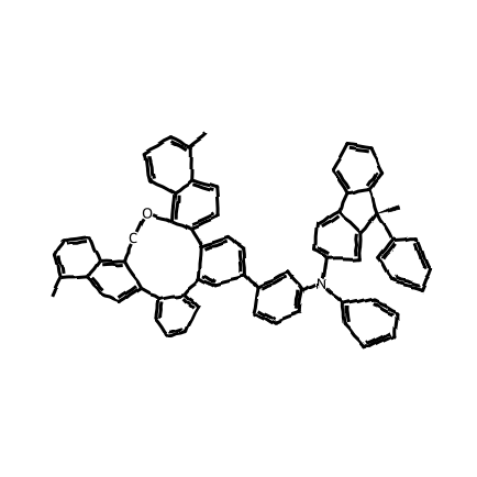 Cc1cccc2c3c(ccc12)-c1ccccc1-c1cc(-c2cccc(N(c4ccccc4)c4ccc5c(c4)[C@@](C)(c4ccccc4)c4ccccc4-5)c2)ccc1-c1ccc2c(C)cccc2c1OC3